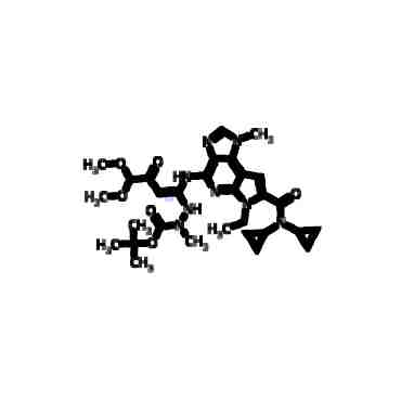 CCn1c(C(=O)N(C2CC2)C2CC2)cc2c3c(ncn3C)c(N/C(=C\C(=O)C(OC)OC)NN(C)C(=O)OC(C)(C)C)nc21